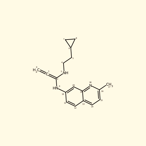 C=C=C(NCCC1CC1)Nc1ccc2ccc(C)nc2c1